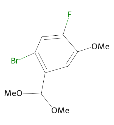 COc1cc(C(OC)OC)c(Br)cc1F